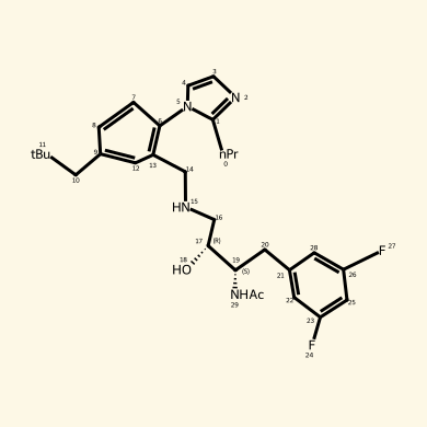 CCCc1nccn1-c1ccc(CC(C)(C)C)cc1CNC[C@@H](O)[C@H](Cc1cc(F)cc(F)c1)NC(C)=O